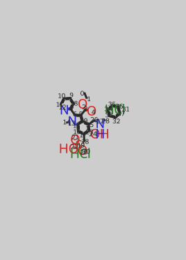 CCOC(=O)c1c(-c2ccccn2)n(C)c2cc(CS(=O)(=O)O)c(O)c(CNC)c12.Cl.Cl.c1ccccc1